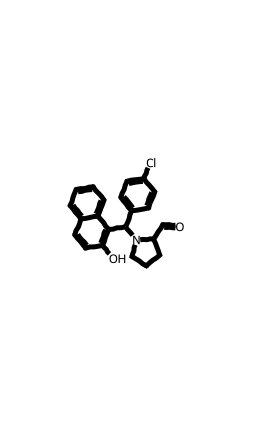 O=CC1CCCN1C(c1ccc(Cl)cc1)c1c(O)ccc2ccccc12